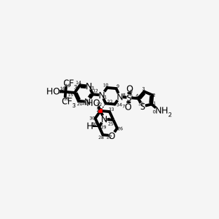 Nc1ccc(S(=O)(=O)N2CCN(c3ncc(C(O)(C(F)(F)F)C(F)(F)F)cn3)[C@@H](CN3C4COC[C@@H]3CC(O)C4)C2)s1